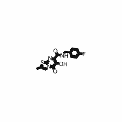 Cc1cn2c(=O)c(O)c(C(=O)NCc3ccc(F)cc3)nc2s1